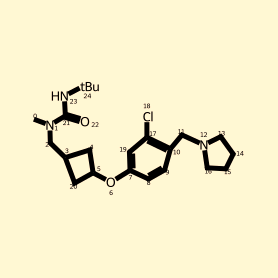 CN(CC1CC(Oc2ccc(CN3CCCC3)c(Cl)c2)C1)C(=O)NC(C)(C)C